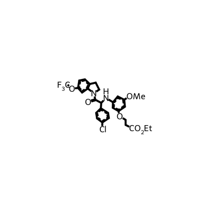 CCOC(=O)CCOc1cc(NC(C(=O)N2CCc3ccc(OC(F)(F)F)cc32)c2ccc(Cl)cc2)cc(OC)c1